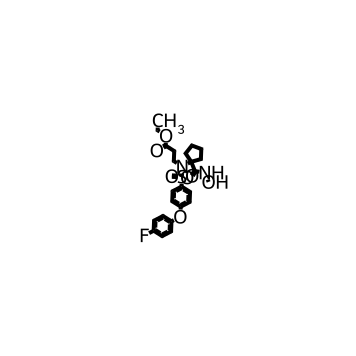 CCOC(=O)CCN(C1(C(=O)NO)CCCC1)S(=O)(=O)c1ccc(Oc2ccc(F)cc2)cc1